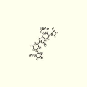 CNCc1nc(N2CCC2C)cc2c1CN(c1cccc(-c3nncn3C(C)C)n1)C2=O